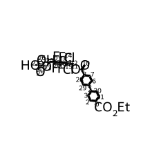 CCOC(=O)c1ccc(-c2ccc(C(=O)OCC(Cl)(Cl)C(F)(F)C(F)(F)COP(=O)(O)O)cc2)cc1